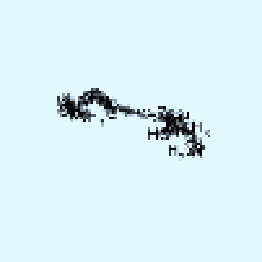 Cc1ncsc1-c1ccc([C@H](C)NC(=O)[C@@H]2C[C@@H](O)CN2C(=O)[C@@H](NC(=O)CCCCCCCCCCCCC(=O)N2CCN(c3cccc(N4CCCC(Oc5cc(-c6ccccc6O)nnc5N)C4)c3)CC2)C(C)(C)C)cc1